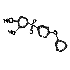 O=S(=O)(c1ccc(Oc2ccccc2)cc1)c1ccc(O)c(O)c1